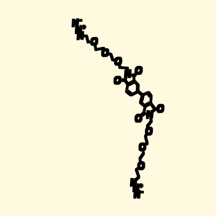 [N-]=[N+]=NCCOCCOCCOCCN1C(=O)c2ccc(-c3ccc4c(c3)C(=O)N(CCOCCOCCOCCN=[N+]=[N-])C4=O)cc2C1=O